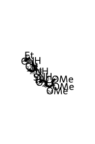 C=C(OC)C(OC)C(/C=C/C(=O)NC(=S)NC(/C=C\C)=C/CNC(=O)CC)OC